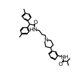 Cc1ccc(C(C(=O)NCCCN2CCC(c3cccc(NC(=O)C(C)C)c3)CC2)c2ccc(C)cc2)cc1